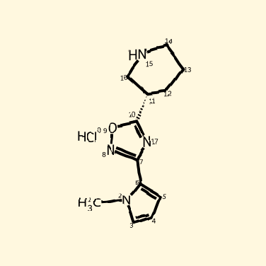 Cl.Cn1cccc1-c1noc([C@H]2CCCNC2)n1